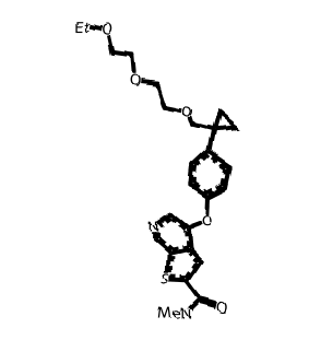 CCOCCOCCOCC1(c2ccc(Oc3cncc4sc(C(=O)NC)cc34)cc2)CC1